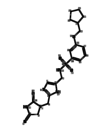 O=C1CN(Cc2ncc(CNS(=O)(=O)c3cccc(OCC4CCCC4)c3)[nH]2)C(=O)N1